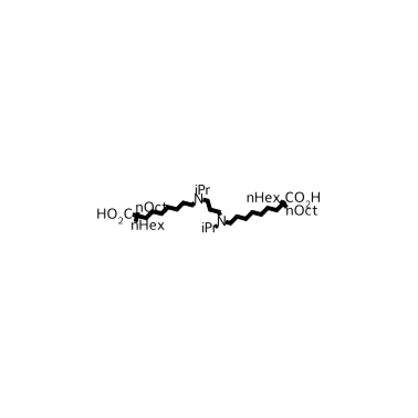 CCCCCCCCC(CCCCCC)(CCCCCCCN(CCCN(CCCCCCCC(CCCCCC)(CCCCCCCC)C(=O)O)C(C)C)C(C)C)C(=O)O